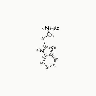 CC(=O)NOCc1nc2ccccc2s1